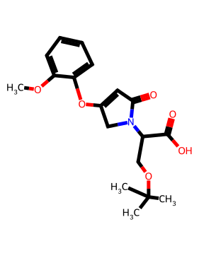 COc1ccccc1OC1=CC(=O)N(C(COC(C)(C)C)C(=O)O)C1